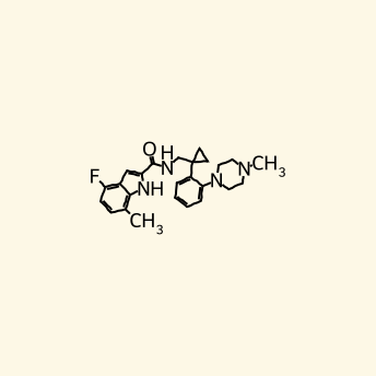 Cc1ccc(F)c2cc(C(=O)NCC3(c4ccccc4N4CCN(C)CC4)CC3)[nH]c12